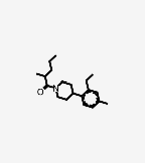 CCCC(C)C(=O)N1CCC(c2ccc(C)cc2CC)CC1